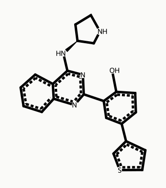 Oc1ccc(-c2ccsc2)cc1-c1nc(N[C@H]2CCNC2)c2ccccc2n1